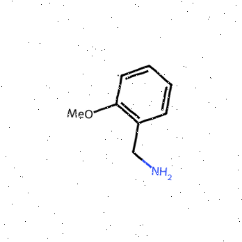 COc1[c]cccc1CN